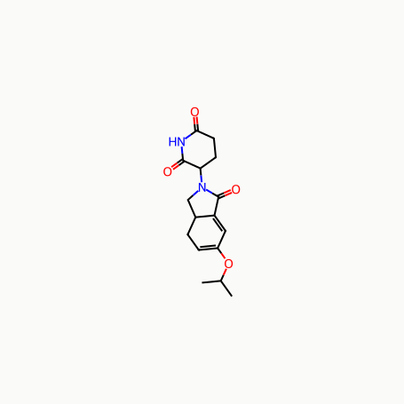 CC(C)OC1=CCC2CN(C3CCC(=O)NC3=O)C(=O)C2=C1